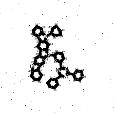 c1ccc(-c2nc(-c3ccccc3)nc(-c3cccc(-n4c5cc6c(cc5c5cc7c8ccccc8n(-c8ccccc8)c7cc54)oc4ccccc46)c3)n2)cc1